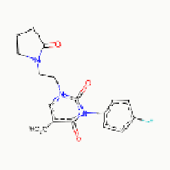 O=C(O)c1cn(CCN2CCCC2=O)c(=O)n(-c2ccc(F)cc2)c1=O